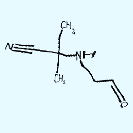 CC(C)(C#N)NCC=O